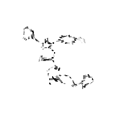 CC(CNC(=O)Cc1sc(-c2ccccc2)nc1-c1ccc(Cl)cc1)N1CCN(c2ncccn2)CC1